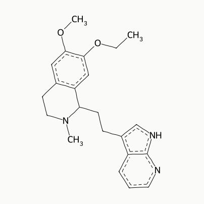 CCOc1cc2c(cc1OC)CCN(C)C2CCc1c[nH]c2ncccc12